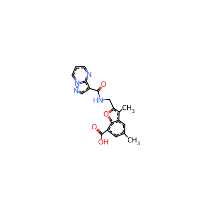 Cc1cc(C(=O)O)c2oc(CNC(=O)c3cnn4cccnc34)c(C)c2c1